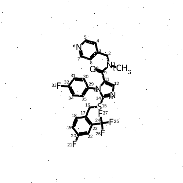 CN(Cc1ccncc1)C(=O)c1cnc(SCc2ccc(F)cc2C(F)(F)F)n1-c1ccc(F)cc1